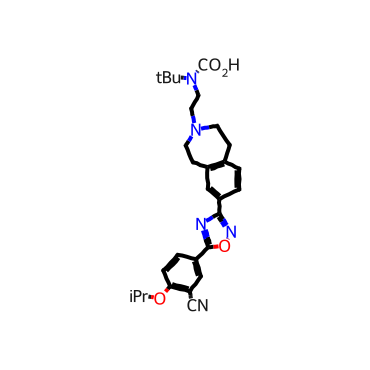 CC(C)Oc1ccc(-c2nc(-c3ccc4c(c3)CCN(CCN(C(=O)O)C(C)(C)C)CC4)no2)cc1C#N